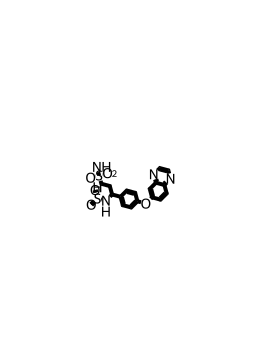 NS(=O)(=O)CCC(N[SH](=O)=O)c1ccc(Oc2ccc3nccnc3c2)cc1